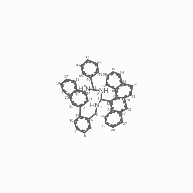 NC(NC(NCc1ccccc1-c1ccc2ccccc2c1)c1c2ccccc2cc2ccc3ccccc3c12)c1ccccc1